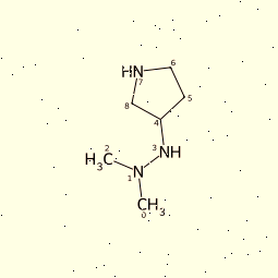 CN(C)NC1CCNC1